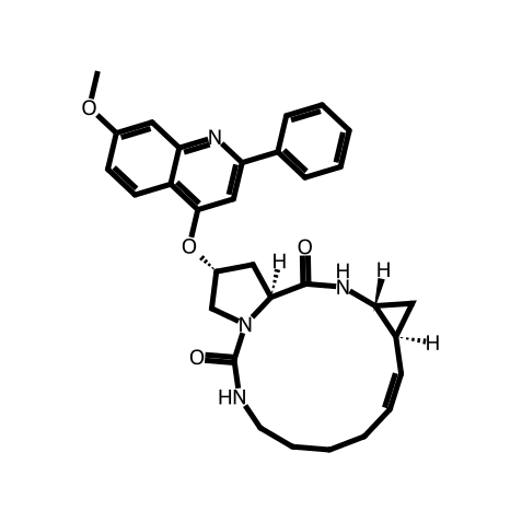 COc1ccc2c(O[C@@H]3C[C@H]4C(=O)N[C@@H]5C[C@H]5/C=C\CCCCNC(=O)N4C3)cc(-c3ccccc3)nc2c1